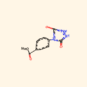 COC(=O)c1ccc(-n2c(=O)[nH][nH]c2=O)cc1